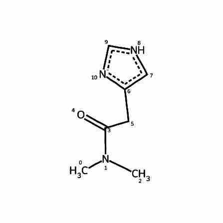 CN(C)C(=O)Cc1c[nH]cn1